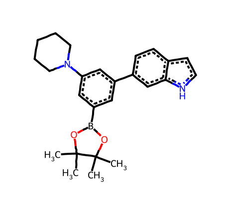 CC1(C)OB(c2cc(-c3ccc4cc[nH]c4c3)cc(N3CCCCC3)c2)OC1(C)C